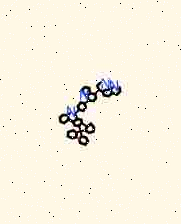 c1ccc(C2(c3ccccc3)c3ccccc3-c3cc4c(-c5ccc(-c6ccc(-c7ccnc8c7ccc7cccnc78)c7cccnc67)cc5)nc5ccccc5c4cc32)cc1